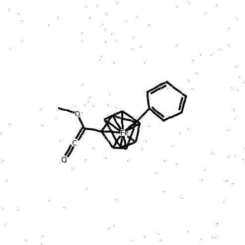 COC(=C=O)[C]12[CH]3[CH]4[C]5(c6ccccc6)[CH]1[Fe]34251678[CH]2[CH]1[CH]6[CH]7[CH]28